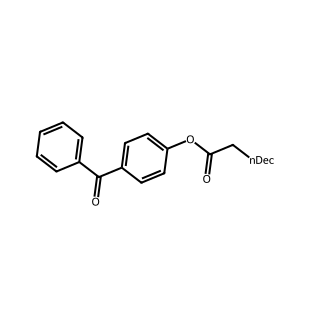 CCCCCCCCCCCC(=O)Oc1ccc(C(=O)c2ccccc2)cc1